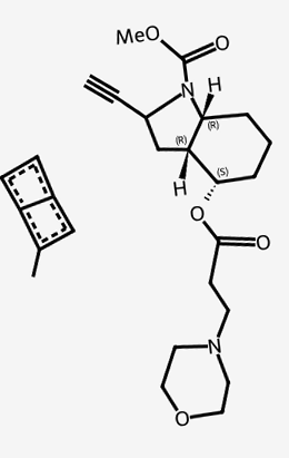 C#CC1C[C@H]2[C@@H](OC(=O)CCN3CCOCC3)CCC[C@H]2N1C(=O)OC.Cc1cc2ccc1-2